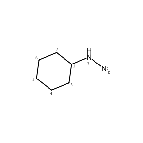 [N]NC1CCCCC1